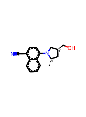 C[C@H]1C[C@H](CO)CN1c1ccc(C#N)c2ccccc12